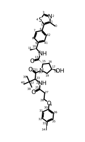 Cc1ncsc1-c1ccc([C@H](C)NC(=O)[C@@H]2C[C@@H](O)CN2C(=O)C(NC(=O)CCOc2ccc(I)cc2)C(C)(C)C)cc1